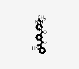 Cc1nc2ccn(C(=O)c3cccc(C(=O)c4c[nH]c5ccccc45)c3)cc-2n1